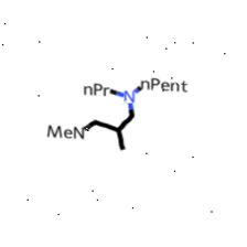 CCCCCN(CCC)CC(C)CNC